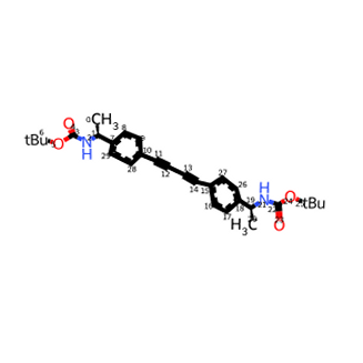 C[C@H](NC(=O)OC(C)(C)C)c1ccc(C#CC#Cc2ccc([C@H](C)NC(=O)OC(C)(C)C)cc2)cc1